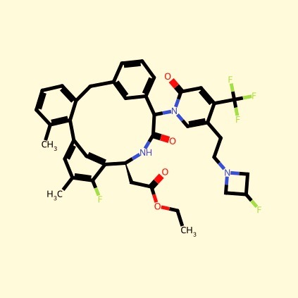 CCOC(=O)C[C@@H]1NC(=O)C(n2cc(CCN3CC(F)C3)c(C(F)(F)F)cc2=O)c2cccc(c2)Cc2cccc(C)c2-c2cc(C)c(F)c1c2